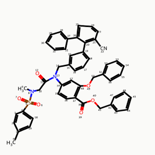 Cc1ccc(S(=O)(=O)N(C)CC(=O)N(Cc2cccc(-c3c(C#N)cccc3-c3ccccc3)c2)c2ccc(C(=O)OCc3ccccc3)c(OCc3ccccc3)c2)cc1